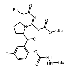 CC(C)(C)NNC(=O)Oc1ccc(F)cc1C(=O)C1CCCN1C(=NC(=O)OC(C)(C)C)NC(=O)OC(C)(C)C